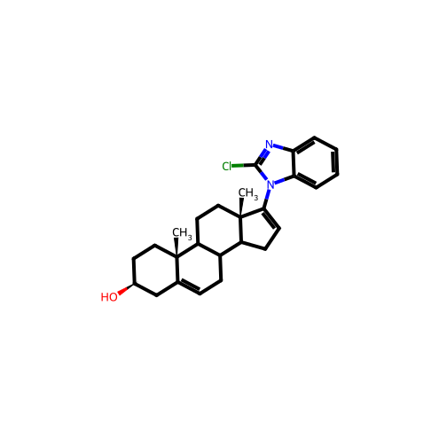 C[C@]12CC[C@H](O)CC1=CCC1C2CC[C@]2(C)C(n3c(Cl)nc4ccccc43)=CCC12